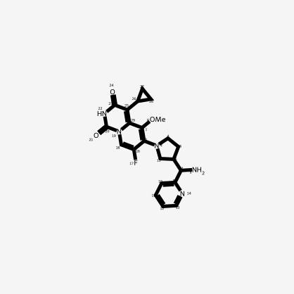 COc1c(N2CCC(C(N)c3ccccn3)C2)c(F)cn2c(=O)[nH]c(=O)c(C3CC3)c12